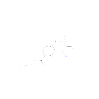 CCOC(=O)c1ccc2c(c1)C(N)C(C)C(C)N2